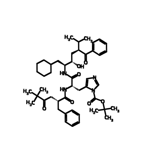 CC(C)[C@H](C[C@H](O)[C@H](CC1CCCCC1)NC(=O)[C@H](Cc1cncn1C(=O)OC(C)(C)C)NC(=O)[C@@H](CC(=O)C(C)(C)C)Cc1ccccc1)C(=O)c1ccccc1